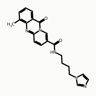 Cc1cccc2c(=O)n3cc(C(=O)NCCCCn4ccnc4)ccc3nc12